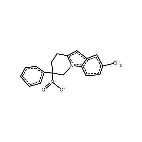 Cc1ccc2c(c1)cc1n2CC(c2ccccc2)([N+](=O)[O-])CC1